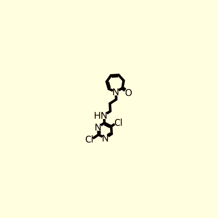 O=C1CC=CC=CN1CCCNc1nc(Cl)ncc1Cl